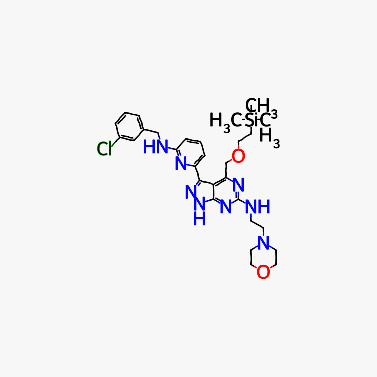 C[Si](C)(C)CCOCc1nc(NCCN2CCOCC2)nc2[nH]nc(-c3cccc(NCc4cccc(Cl)c4)n3)c12